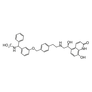 O=C(O)NC(c1ccccc1)c1cccc(OCc2ccc(CCNC[C@@H](O)c3ccc(O)c4[nH]c(=O)ccc34)cc2)c1